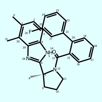 Cc1ccc2[nH]c([C@]3(C)CCCN3C(=O)c3ccccc3-c3cccc(F)c3)nc2c1C